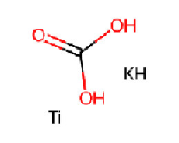 O=C(O)O.[KH].[Ti]